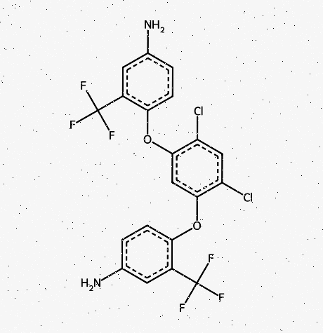 Nc1ccc(Oc2cc(Oc3ccc(N)cc3C(F)(F)F)c(Cl)cc2Cl)c(C(F)(F)F)c1